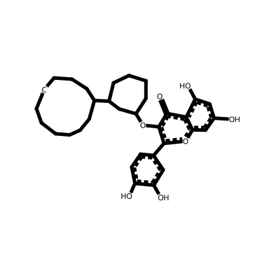 O=c1c(OC2CCCCC(C3CCCCCCCCCC3)C2)c(-c2ccc(O)c(O)c2)oc2cc(O)cc(O)c12